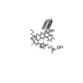 CCCc1nc2c(C)cc(-c3cn(CCCN(C)C)cn3)cc2n1Cc1ccc(-c2ccccc2C(=O)O)cc1.Cl.Cl.O.O.O.O.O